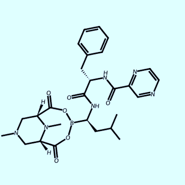 CC(C)C[C@H](NC(=O)[C@H](Cc1ccccc1)NC(=O)c1cnccn1)B1OC(=O)[C@H]2CN(C)C[C@@H](C(=O)O1)N2C